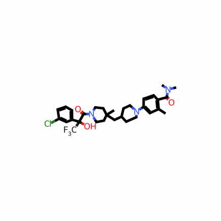 Cc1cc(N2CCC(CC3(C)CCN(C(=O)C(O)(c4cccc(Cl)c4)C(F)(F)F)CC3)CC2)ccc1C(=O)N(C)C